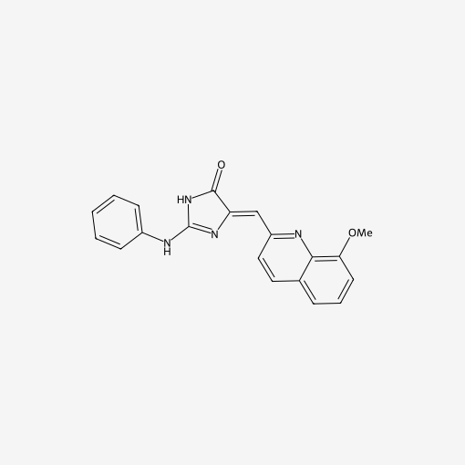 COc1cccc2ccc(/C=C3\N=C(Nc4ccccc4)NC3=O)nc12